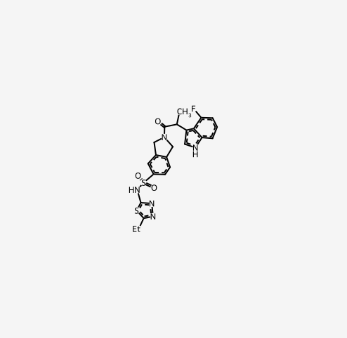 CCc1nnc(NS(=O)(=O)c2ccc3c(c2)CN(C(=O)C(C)c2c[nH]c4cccc(F)c24)C3)s1